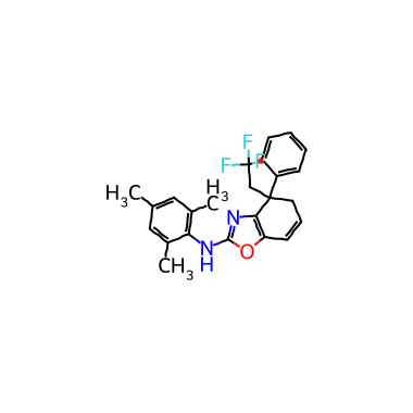 Cc1cc(C)c(Nc2nc3c(o2)C=CCC3(CC(F)(F)F)c2ccccc2)c(C)c1